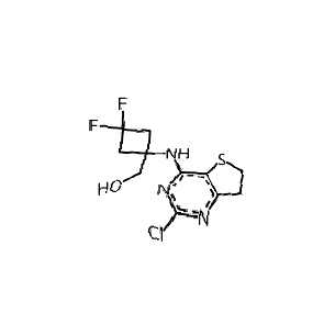 OCC1(Nc2nc(Cl)nc3c2SCC3)CC(F)(F)C1